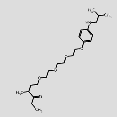 CCC(=O)C(C)CCOCCOCCOCCOc1ccc(NCC(C)C)cc1